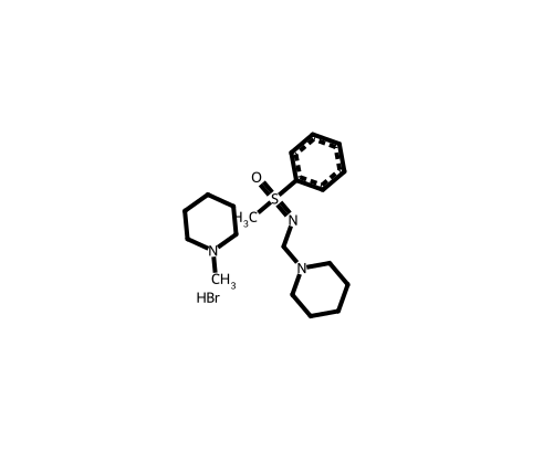 Br.CN1CCCCC1.CS(=O)(=NCN1CCCCC1)c1ccccc1